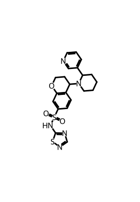 O=S(=O)(Nc1ncns1)c1ccc2c(c1)OCCC2N1CCCCC1c1cccnc1